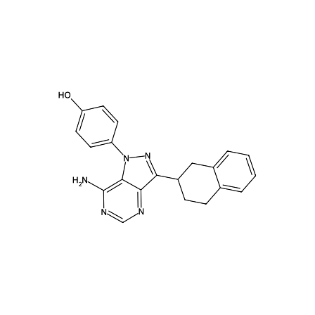 Nc1ncnc2c(C3CCc4ccccc4C3)nn(-c3ccc(O)cc3)c12